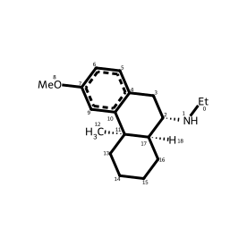 CCN[C@H]1Cc2ccc(OC)cc2[C@]2(C)CCCC[C@H]12